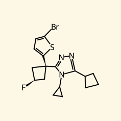 F[C@H]1C[C@](c2ccc(Br)s2)(c2nnc(C3CCC3)n2C2CC2)C1